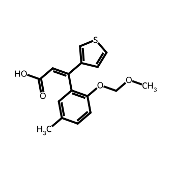 COCOc1ccc(C)cc1/C(=C\C(=O)O)c1ccsc1